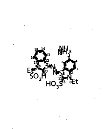 CCN1c2ccccc2S(=NN=S2c3ccccc3N(CC)C2S(=O)(=O)O)C1S(=O)(=O)O.N.N